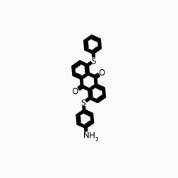 Nc1ccc(Sc2cccc3c2C(=O)c2cccc(Sc4ccccc4)c2C3=O)cc1